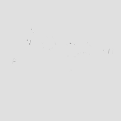 CCc1cc2cc(-c3ccc(C(C)N4CCC(F)(F)CC4)cc3)cc(-c3ccc(F)cc3)c2o1